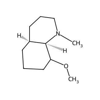 COC1CCC[C@H]2CCCN(C)[C@@H]12